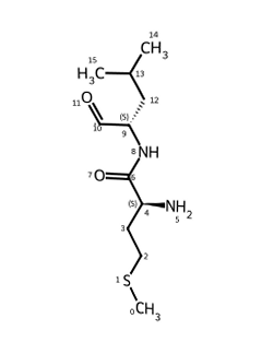 CSCC[C@H](N)C(=O)N[C@H]([C]=O)CC(C)C